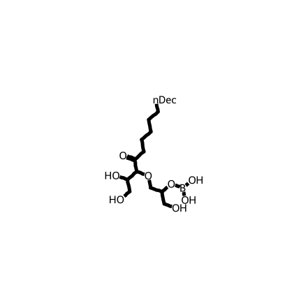 CCCCCCCCCCCCCCCC(=O)C(OCC(CO)OB(O)O)C(O)CO